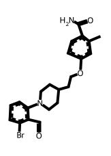 Cc1cc(OCCC2CCN(c3cccc(Br)c3C=O)CC2)ccc1C(N)=O